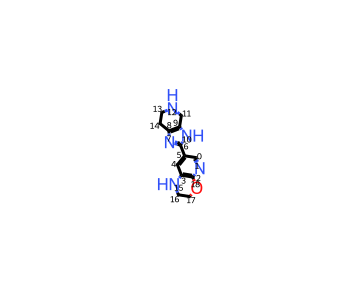 c1nc2c(cc1-c1nc3c([nH]1)CNCC3)NCCO2